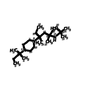 CCC(C)(C)N1CCN(C(C)(CC)CC(C)(C)NC(C)(C)C)CC1